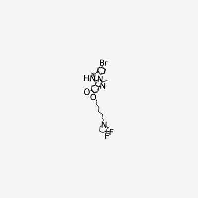 COc1cc2c(N[C@H](C)c3cccc(Br)c3)nc(C)nc2cc1OCCCCCCCN1CCCC(F)(F)C1